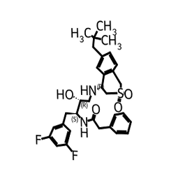 CC(C)(C)Cc1ccc2c(c1)[C@@H](NC[C@@H](O)[C@H](Cc1cc(F)cc(F)c1)NC(=O)Cc1ccccc1)CS(=O)(=O)C2